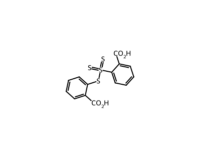 O=C(O)c1ccccc1SS(=S)(=S)c1ccccc1C(=O)O